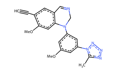 C#Cc1cc2c(cc1OC)N(c1cc(OC)cc(-n3nnnc3C)c1)CN=C2